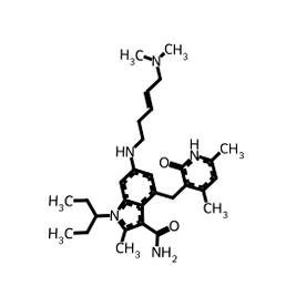 CCC(CC)n1c(C)c(C(N)=O)c2c(Cc3c(C)cc(C)[nH]c3=O)cc(NCCC=CCN(C)C)cc21